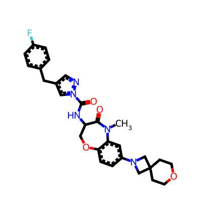 CN1C(=O)C(NC(=O)n2cc(Cc3ccc(F)cc3)cn2)COc2ccc(N3CC4(CCOCC4)C3)cc21